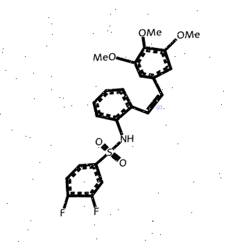 COc1cc(/C=C\c2ccccc2NS(=O)(=O)c2ccc(F)c(F)c2)cc(OC)c1OC